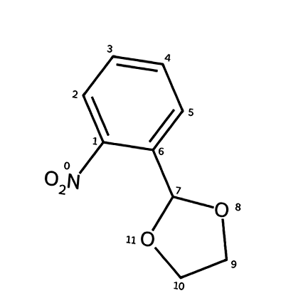 O=[N+]([O-])c1ccccc1C1OCCO1